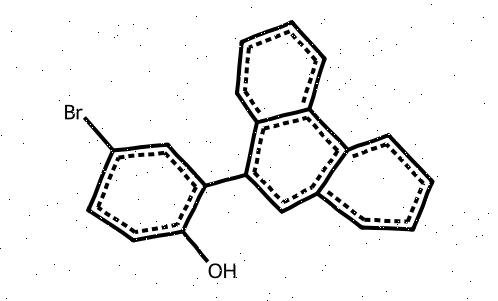 Oc1ccc(Br)cc1-c1cc2ccccc2c2ccccc12